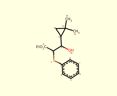 CCOC(=O)C(Sc1ccccc1)C(O)C1CC1(C)C